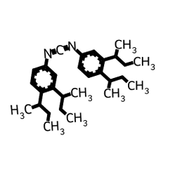 CCC(C)c1ccc(N=C=Nc2ccc(C(C)CC)c(C(C)CC)c2)cc1C(C)CC